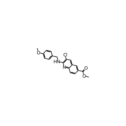 COC(=O)c1ccc2nc(NCc3ccc(OC)cc3)c(Cl)cc2c1